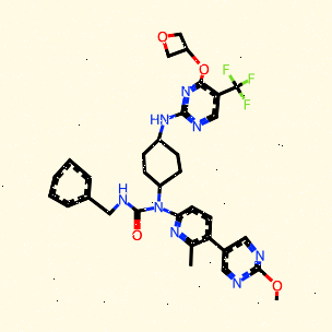 COc1ncc(-c2ccc(N(C(=O)NCc3ccccc3)C3CCC(Nc4ncc(C(F)(F)F)c(OC5COC5)n4)CC3)nc2C)cn1